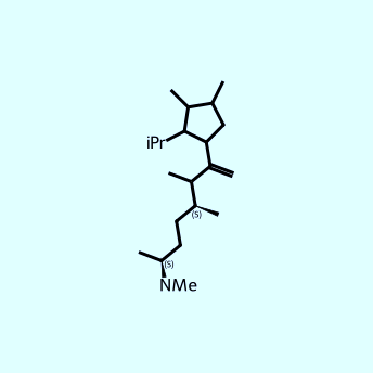 C=C(C1CC(C)C(C)C1C(C)C)C(C)[C@@H](C)CC[C@H](C)NC